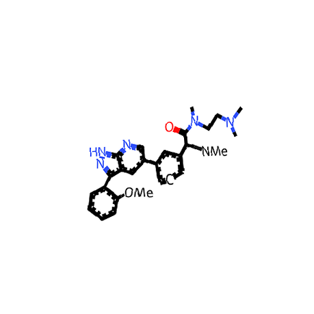 CNC(C(=O)N(C)CCN(C)C)c1cccc(-c2cnc3[nH]nc(-c4ccccc4OC)c3c2)c1